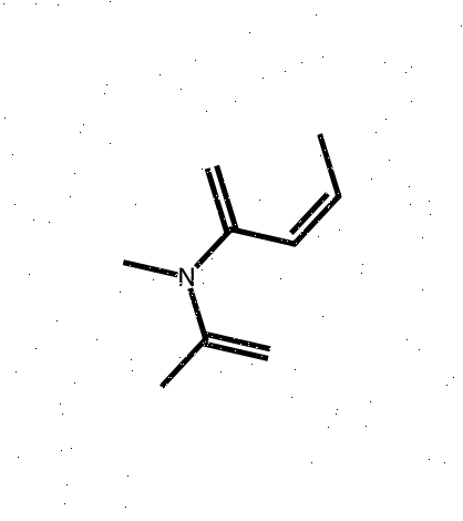 C=C(C)N(C)C(=C)/C=C\C